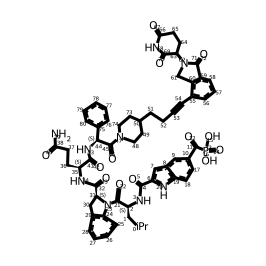 CC(C)C[C@H](NC(=O)c1cc2cc(C(=O)P(=O)(O)O)ccc2[nH]1)C(=O)N1c2ccccc2C[C@H]1C(=O)N[C@@H](CCC(N)=O)C(=O)N[C@H](C(=O)N1CCC(CCC#Cc2cccc3c2CN(C2CCC(=O)NC2=O)C3=O)CC1)c1ccccc1